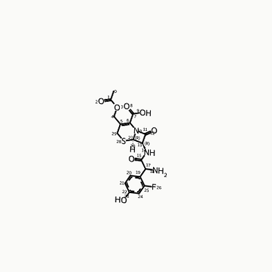 CC(=O)OCC1=C(C(=O)O)N2C(=O)[C@@H](NC(=O)C(N)c3ccc(O)cc3F)[C@H]2SC1